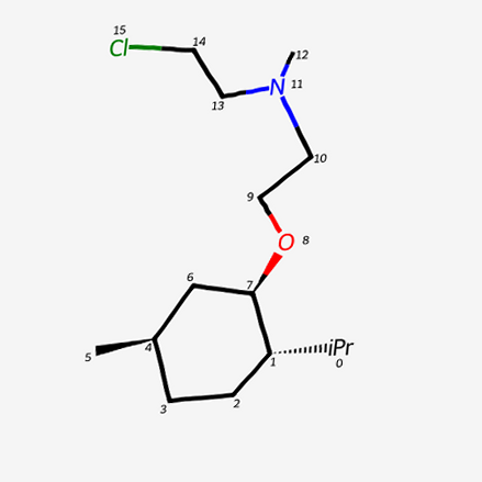 CC(C)[C@@H]1CC[C@@H](C)C[C@H]1OCCN(C)CCCl